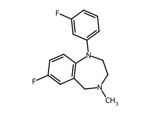 CN1CCN(c2cccc(F)c2)c2ccc(F)cc2C1